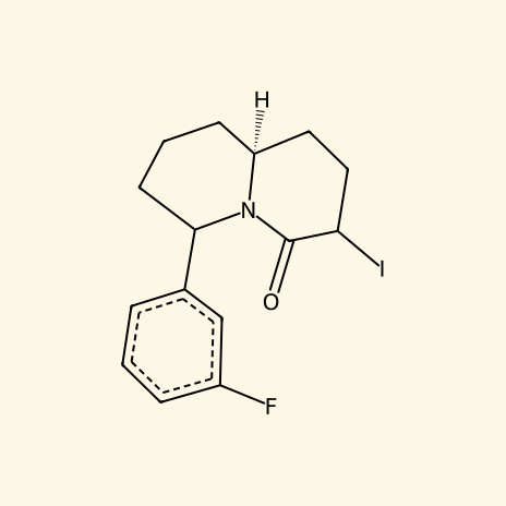 O=C1C(I)CC[C@@H]2CCCC(c3cccc(F)c3)N12